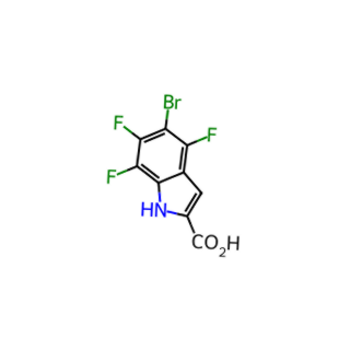 O=C(O)c1cc2c(F)c(Br)c(F)c(F)c2[nH]1